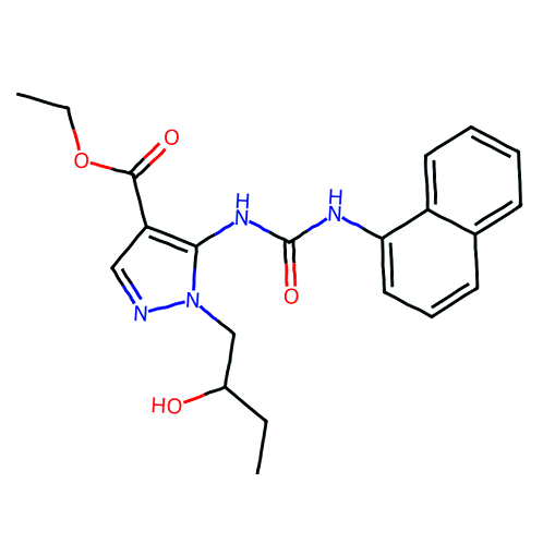 CCOC(=O)c1cnn(CC(O)CC)c1NC(=O)Nc1cccc2ccccc12